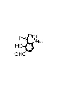 CCN(CC)c1ccc([C]=O)c(O)c1N(CC)CC